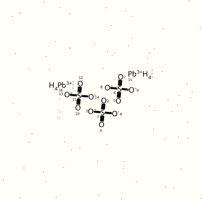 O=S(=O)([O-])[O-].O=S(=O)([O-])[O-].O=S(=O)([O-])[O-].[PbH4+3].[PbH4+3]